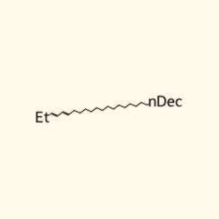 CCC=CC=CCCCCCCCCCCCCCCCCCCCCCCCC